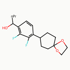 CCCC(O)c1ccc(C2CCC3(CC2)OCCO3)c(F)c1F